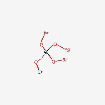 CCO[Si](OBr)(OBr)OBr